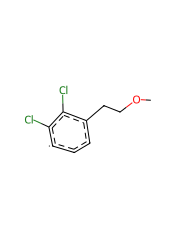 COCCc1cc[c]c(Cl)c1Cl